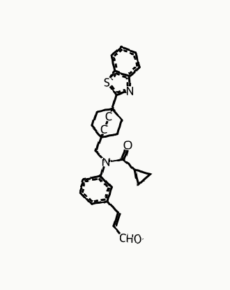 O=[C]/C=C/c1cccc(N(CC23CCC(c4nc5ccccc5s4)(CC2)CC3)C(=O)C2CC2)c1